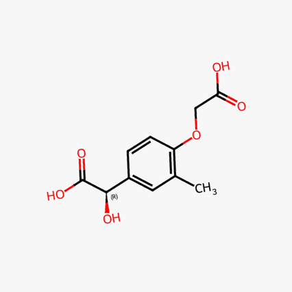 Cc1cc([C@@H](O)C(=O)O)ccc1OCC(=O)O